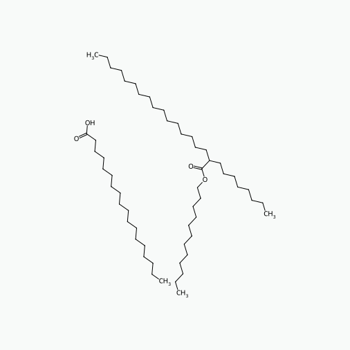 CCCCCCCCCCCCCCCCC(CCCCCCCC)C(=O)OCCCCCCCCCCCC.CCCCCCCCCCCCCCCCCC(=O)O